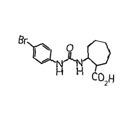 O=C(Nc1ccc(Br)cc1)NC1CCCCCC1C(=O)O